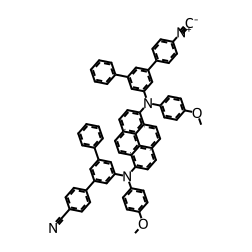 [C-]#[N+]c1ccc(-c2cc(-c3ccccc3)cc(N(c3ccc(OC)cc3)c3ccc4ccc5c(N(c6ccc(OC)cc6)c6cc(-c7ccccc7)cc(-c7ccc(C#N)cc7)c6)ccc6ccc3c4c65)c2)cc1